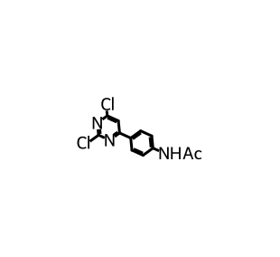 CC(=O)Nc1ccc(-c2cc(Cl)nc(Cl)n2)cc1